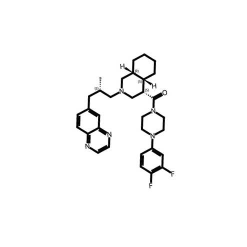 C[C@@H](Cc1ccc2nccnc2c1)CN1C[C@@H]2CCCC[C@@H]2[C@H](C(=O)N2CCN(c3ccc(F)c(F)c3)CC2)C1